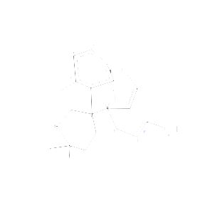 C/C=C\C(C)(C/C=C/O)C1(c2ccccc2F)CCC(F)(F)CC1